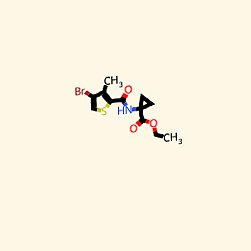 CCOC(=O)C1(NC(=O)c2scc(Br)c2C)CC1